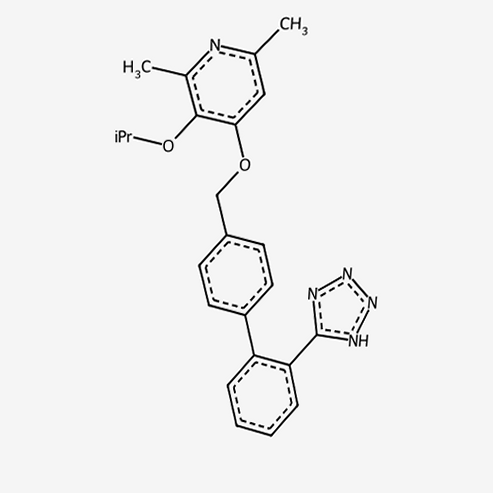 Cc1cc(OCc2ccc(-c3ccccc3-c3nnn[nH]3)cc2)c(OC(C)C)c(C)n1